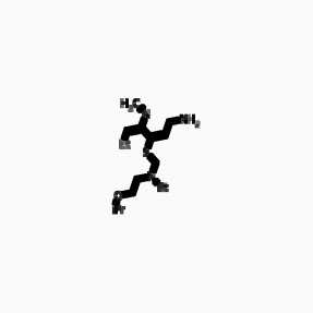 C=NC(=C/CC)/C(=C\CN)SCN(CC)CCOC(C)C